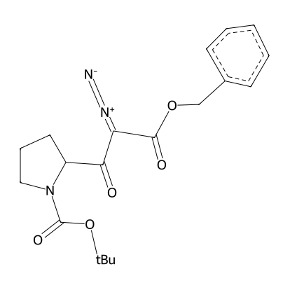 CC(C)(C)OC(=O)N1CCCC1C(=O)C(=[N+]=[N-])C(=O)OCc1ccccc1